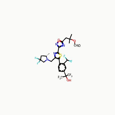 C[C@H]1CC(F)(F)CN1Cc1nc(-c2noc(CC(C)(C)OC=O)n2)sc1-c1ccc(C(O)(C(F)(F)F)C(F)(F)F)cc1C(F)F